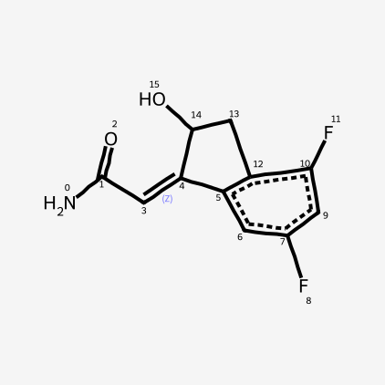 NC(=O)/C=C1/c2cc(F)cc(F)c2CC1O